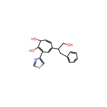 OCC(Cc1ccccc1)C1=CC(c2cscn2)=C(O)C(O)C=C1